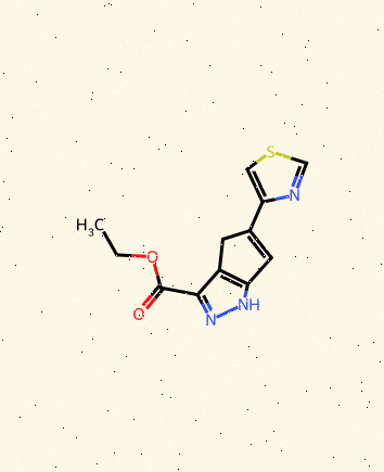 CCOC(=O)c1n[nH]c2c1CC(c1cscn1)=C2